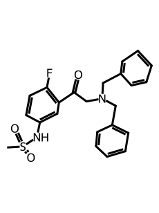 CS(=O)(=O)Nc1ccc(F)c(C(=O)CN(Cc2ccccc2)Cc2ccccc2)c1